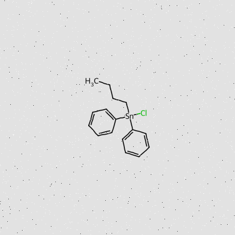 CCC[CH2][Sn]([Cl])([c]1ccccc1)[c]1ccccc1